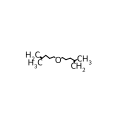 C=C(C)CCCOCCCC(=C)C